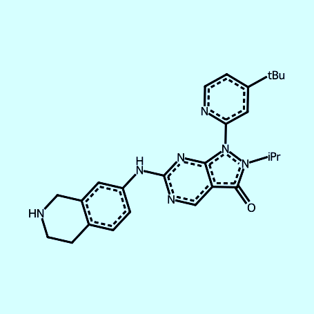 CC(C)n1c(=O)c2cnc(Nc3ccc4c(c3)CNCC4)nc2n1-c1cc(C(C)(C)C)ccn1